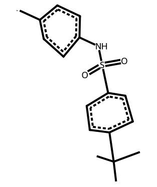 [CH2]c1ccc(NS(=O)(=O)c2ccc(C(C)(C)C)cc2)cc1